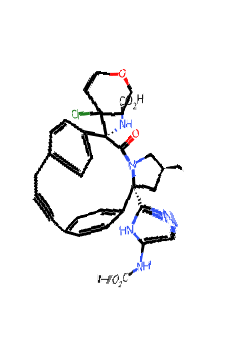 C[C@@H]1CN2C(=O)[C@](NC(=O)O)(C3(Cl)CCOCC3)c3ccc(cc3)C#Cc3ccc(cc3)[C@]2(c2ncc(NC(=O)O)[nH]2)C1